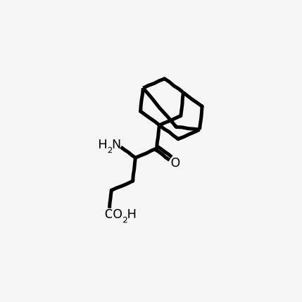 NC(CCC(=O)O)C(=O)C12CC3CC(CC(C3)C1)C2